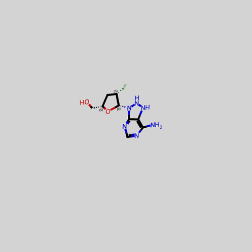 Nc1ncnc2c1NNN2[C@@H]1O[C@H](CO)C[C@@H]1F